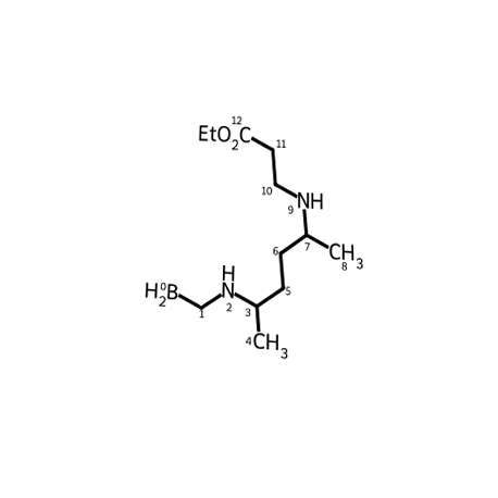 BCNC(C)CCC(C)NCCC(=O)OCC